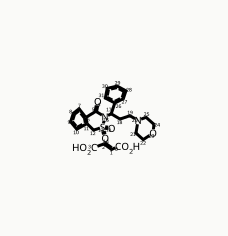 O=C(O)/C=C/C(=O)O.O=C1c2ccccc2CS(=O)(=O)N1C(CCN1CCOCC1)c1ccccc1